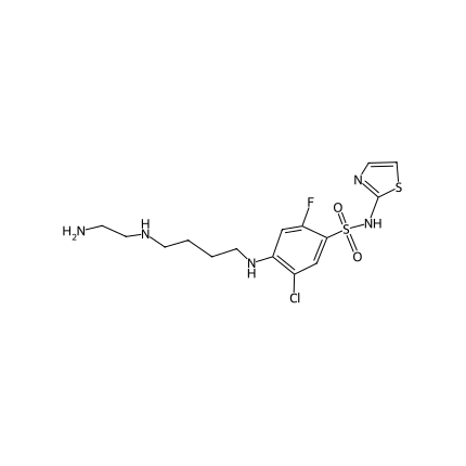 NCCNCCCCNc1cc(F)c(S(=O)(=O)Nc2nccs2)cc1Cl